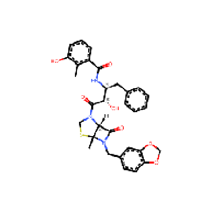 Cc1c(O)cccc1C(=O)N[C@@H](Cc1ccccc1)[C@H](O)C(=O)N1CSC2(C)[C@H]1C(=O)N2Cc1ccc2c(c1)OCO2